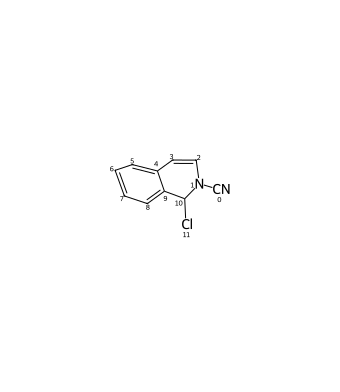 N#CN1C=Cc2ccccc2C1Cl